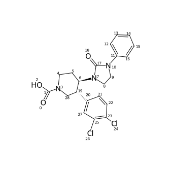 O=C(O)N1CC[C@@H](N2CCN(c3ccccc3)C2=O)[C@H](c2ccc(Cl)c(Cl)c2)C1